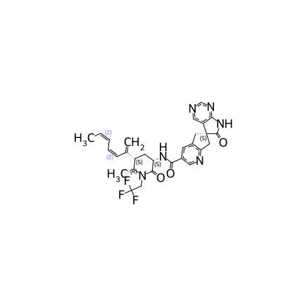 C=C(/C=C\C=C/C)[C@@H]1C[C@H](NC(=O)c2cnc3c(c2)C[C@@]2(C3)C(=O)Nc3ncncc32)C(=O)N(CC(F)(F)F)[C@@H]1C